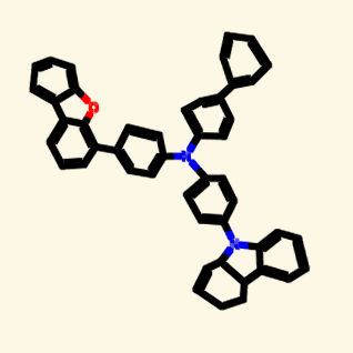 C1=CC2C(CC1)c1ccccc1N2c1ccc(N(c2ccc(-c3ccccc3)cc2)c2ccc(-c3cccc4c3oc3ccccc34)cc2)cc1